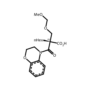 CCCCCC[C@@](COCOC)(C(=O)O)C(=O)N1CCOc2ccccc21